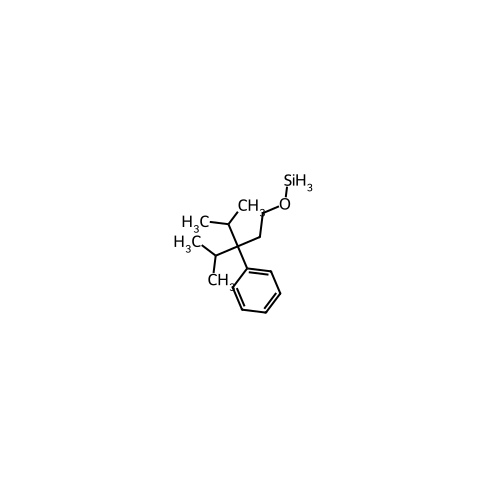 CC(C)C(CCO[SiH3])(c1ccccc1)C(C)C